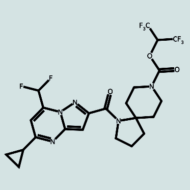 O=C(OC(C(F)(F)F)C(F)(F)F)N1CCC2(CCCN2C(=O)c2cc3nc(C4CC4)cc(C(F)F)n3n2)CC1